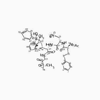 CC(=O)N[C@@H](CCc1ccccc1)C(=O)N[C@@H](CC(C)C)C(=O)N[C@H](C(=O)NCC(=O)[C@@]1(C)CO1)[C@@H](C)CC(C)(C)[Si](O)(c1ccccc1)c1ccccc1